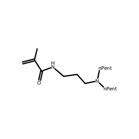 C=C(C)C(=O)NCCCN(CCCCC)CCCCC